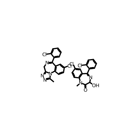 CN1C(=O)C(O)N=C(c2ccccc2Cl)c2cc(Cl)ccc21.Cc1nnc2n1-c1ccc(Cl)cc1C(c1ccccc1Cl)=NC2